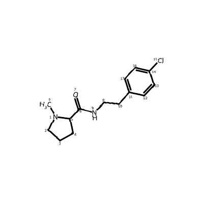 CN1CCCC1C(=O)NCCc1ccc(Cl)cc1